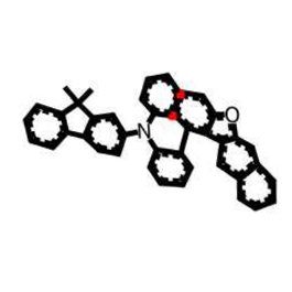 CC1(C)c2ccccc2-c2ccc(N(c3ccccc3)c3ccccc3-c3cccc4oc5cc6ccccc6cc5c34)cc21